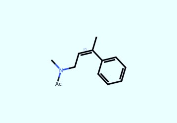 CC(=O)N(C)C/C=C(/C)c1ccccc1